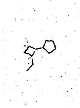 CC[C@H]1C[C@H](C)P1C1CCCC1